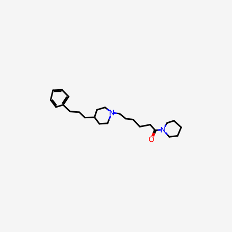 O=C(CCCCCN1CCC(CCCc2ccccc2)CC1)N1CCCCC1